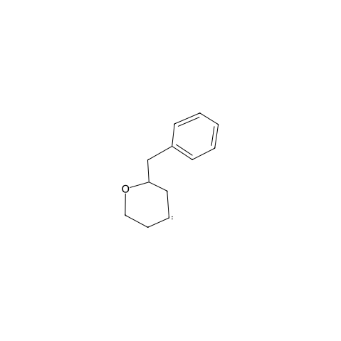 [C]1CCOC(Cc2ccccc2)C1